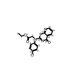 CCOC(=O)CN(c1ccc(Cl)cc1)c1nc(=O)c2cccnc2s1